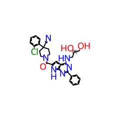 N#CC1(c2ccccc2Cl)CCN(C(=O)c2cc3c(NC[C@@H](O)CO)nc(-c4ccccc4)nc3[nH]2)CC1